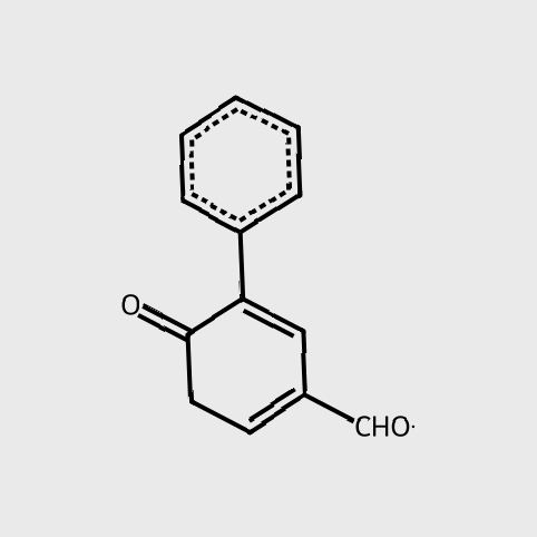 O=[C]C1=CCC(=O)C(c2ccccc2)=C1